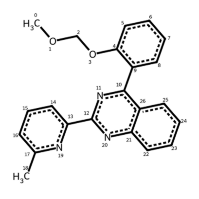 COCOc1ccccc1-c1nc(-c2cccc(C)n2)nc2ccccc12